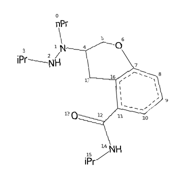 CCCN(NC(C)C)C1COc2cccc(C(=O)NC(C)C)c2C1